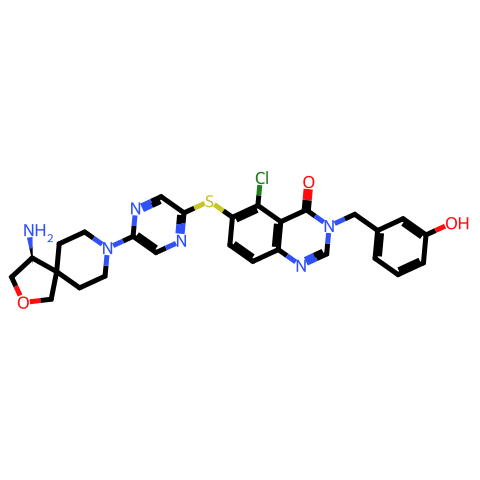 N[C@@H]1COCC12CCN(c1cnc(Sc3ccc4ncn(Cc5cccc(O)c5)c(=O)c4c3Cl)cn1)CC2